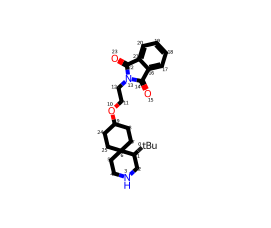 CC(C)(C)C1CNCCC12CCC(OCCN1C(=O)c3ccccc3C1=O)CC2